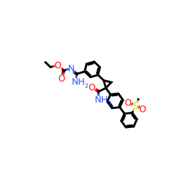 CCOC(=O)/N=C(\N)c1cccc(C2CC2(C(N)=O)c2ccc(-c3ccccc3S(C)(=O)=O)cc2)c1